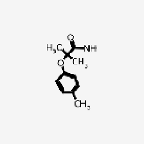 Cc1ccc(OC(C)(C)C([NH])=O)cc1